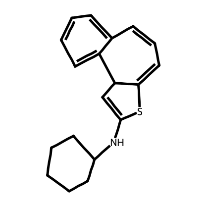 C1=Cc2ccccc2C2C=C(NC3CCCCC3)SC2=C1